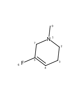 CN1CCC=C(F)C1